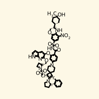 CC(C)c1ccccc1[C@@H]1CCCN1C1CC2(CCN(c3ccc(C(=O)NS(=O)(=O)c4cc5c(c([N+](=O)[O-])c4)N[C@@H]([C@H]4CC[C@](C)(O)CC4)CO5)c(Oc4cc5cc[nH]c5nc4OC[C@H]4CCN4S(C)(=O)=O)c3)CC2)C1